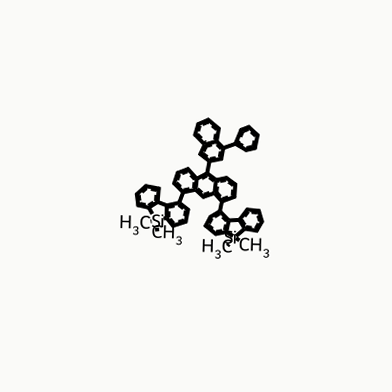 C[Si]1(C)c2ccccc2-c2c(-c3cccc4c(-c5cc(-c6ccccc6)c6ccccc6c5)c5cccc(-c6cccc7c6-c6ccccc6[Si]7(C)C)c5cc34)cccc21